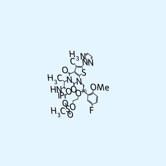 COc1ccc(F)cc1[C@H](Cn1c(=O)n(C(C)C(=O)NC(C)C)c(=O)c2c(C)c(-n3nccn3)sc21)OCCOS(C)(=O)=O